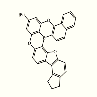 CC(C)(C)c1cc2c3c(c1)Oc1c(ccc4ccccc14)B3c1c(ccc3c1oc1ccc4c(c13)CCC4)O2